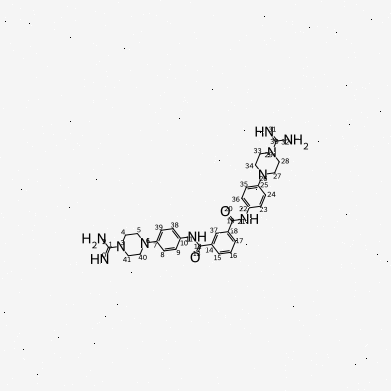 N=C(N)N1CCN(c2ccc(NC(=O)c3cccc(C(=O)Nc4ccc(N5CCN(C(=N)N)CC5)cc4)c3)cc2)CC1